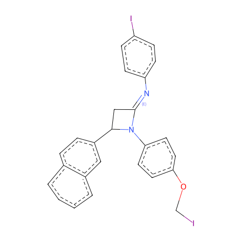 ICOc1ccc(N2/C(=N/c3ccc(I)cc3)CC2c2ccc3ccccc3c2)cc1